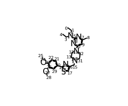 CCN(CC)c1nc(C)cc(N2CCN(Cc3csc(-c4ccc(OC)c(OC)c4)n3)CC2)n1